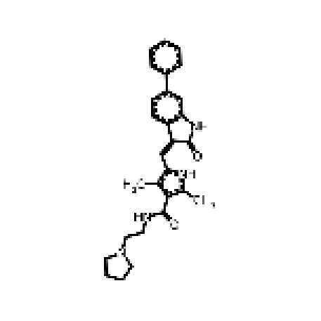 Cc1[nH]c(C=C2C(=O)Nc3cc(-c4ccccc4)ccc32)c(C)c1C(=O)NCCN1CCCC1